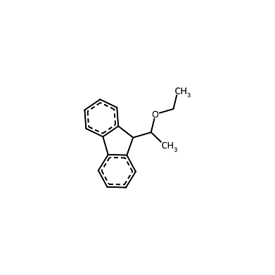 CCOC(C)C1c2ccccc2-c2ccccc21